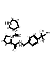 O=C(NCc1ccc(C(F)(F)F)cc1)C1CCCN1C(=O)[C@H]1CCCNC1